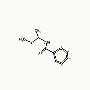 COC(C)NC(=O)c1[c]cccc1